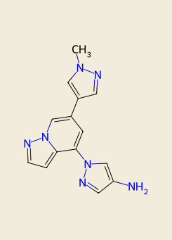 Cn1cc(-c2cc(-n3cc(N)cn3)c3ccnn3c2)cn1